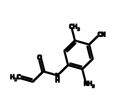 C=CC(=O)Nc1cc(C)c(C#N)cc1N